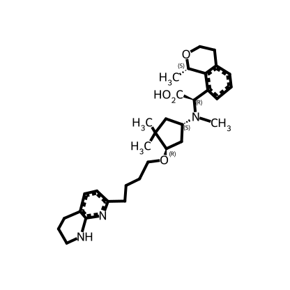 C[C@@H]1OCCc2cccc([C@H](C(=O)O)N(C)[C@@H]3C[C@@H](OCCCCc4ccc5c(n4)NCCC5)C(C)(C)C3)c21